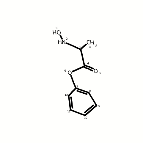 CC(NO)C(=O)Oc1ccccc1